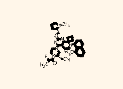 C=C(F)C(=O)N1CCN(c2nc(OC[C@@H]3CCCN3C)nc3c2CCN(c2cccc4cccc(C)c24)C32CCC2)C[C@@H]1CC#N